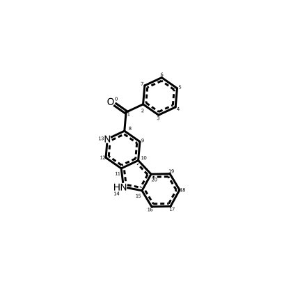 O=C(c1ccccc1)c1cc2c(cn1)[nH]c1ccccc12